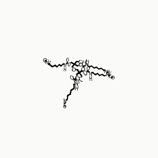 CCC(COCC(CC)(COC(=O)NCCCCCCN=C=O)COC(=O)NCCCCCCN=C=O)(COC(=O)NCCCCCCC#[N+][O-])COC(=O)NCCCCCCC#[N+][O-]